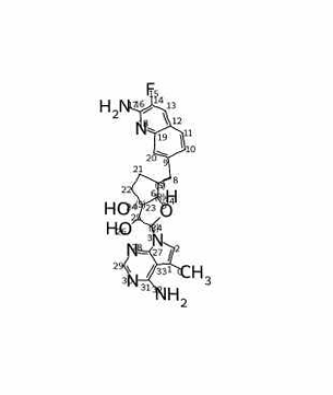 Cc1cn([C@@H]2O[C@@H]3[C@H](Cc4ccc5cc(F)c(N)nc5c4)CC[C@]3(O)C2O)c2ncnc(N)c12